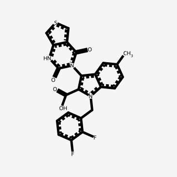 Cc1ccc2c(c1)c(-n1c(=O)[nH]c3cscc3c1=O)c(C(=O)O)n2Cc1cccc(F)c1F